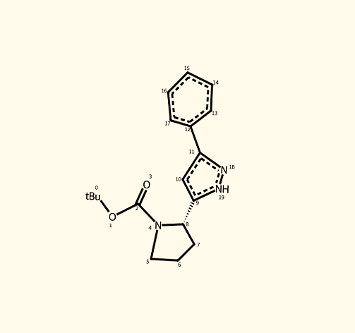 CC(C)(C)OC(=O)N1CCC[C@H]1c1cc(-c2ccccc2)n[nH]1